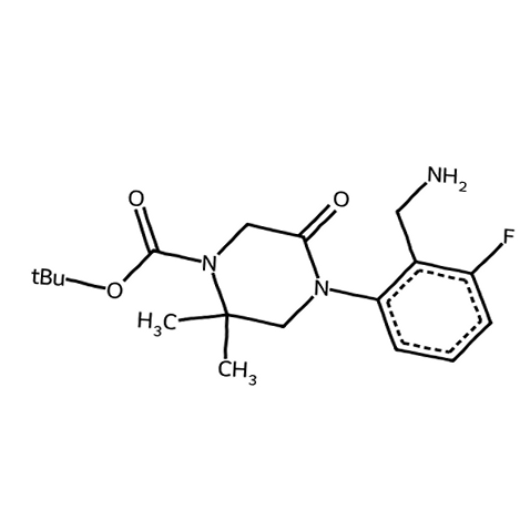 CC(C)(C)OC(=O)N1CC(=O)N(c2cccc(F)c2CN)CC1(C)C